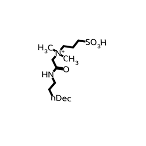 CCCCCCCCCCCCNC(=O)C[N+](C)(C)CCCS(=O)(=O)O